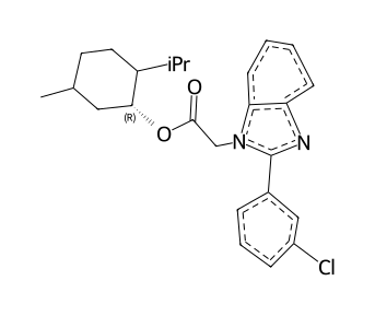 CC1CCC(C(C)C)[C@H](OC(=O)Cn2c(-c3cccc(Cl)c3)nc3ccccc32)C1